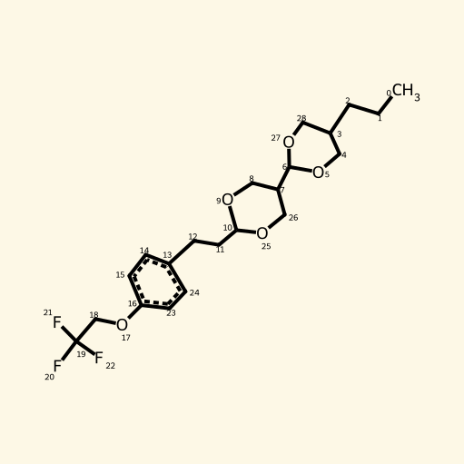 CCCC1COC(C2COC(CCc3ccc(OCC(F)(F)F)cc3)OC2)OC1